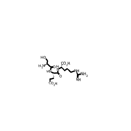 N=C(N)NCCC[C@H](NC(=O)[C@H](CCC(=O)O)NC(=O)[C@@H](N)CO)C(=O)O